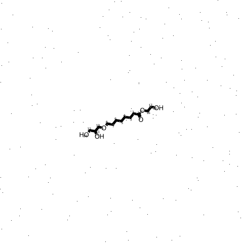 O=C(CCCCCCCOCC(O)CO)OCCO